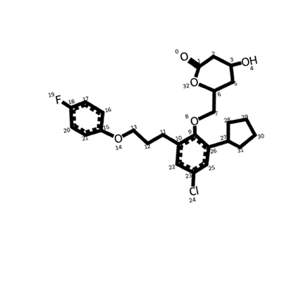 O=C1CC(O)CC(COc2c(CCCOc3ccc(F)cc3)cc(Cl)cc2C2CCCC2)O1